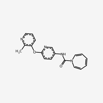 Cc1ncccc1Oc1ccc(NC(=O)N2C=CC=CC=C2)cn1